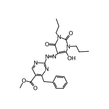 CCCn1c(O)c(N=Nc2ncc(C(=O)OC)c(Cc3ccccc3)n2)c(=O)n(CCC)c1=O